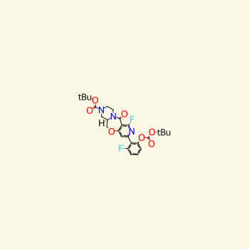 CC(C)(C)OC(=O)Oc1cccc(F)c1-c1cc2c(c(F)n1)C(=O)N1CCN(C(=O)OC(C)(C)C)C[C@@H]1CO2